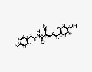 Cc1ccc(CCNC(=O)/C(C#N)=C/C=C/c2ccc(O)cc2)cc1